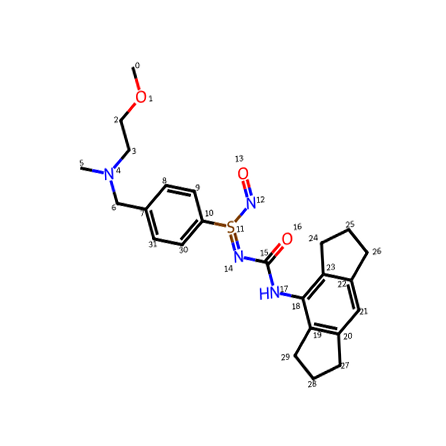 COCCN(C)Cc1ccc(/S(N=O)=N/C(=O)Nc2c3c(cc4c2CCC4)CCC3)cc1